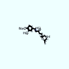 COc1ccc(/C=C/C(=O)CCC2(C)CNCC(C)O2)cc1O.Cl